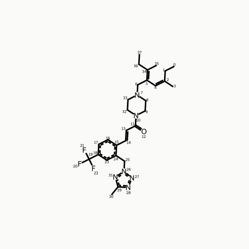 CC/C(C)=C\C(CN1CCN(C(=O)/C=C/c2ccc(C(F)(F)F)cc2Cn2nnc(C)n2)CC1)=C(/C)CC